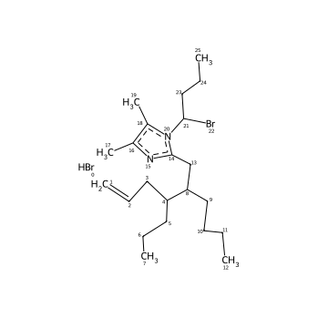 Br.C=CCC(CCC)C(CCCC)Cc1nc(C)c(C)n1C(Br)CCC